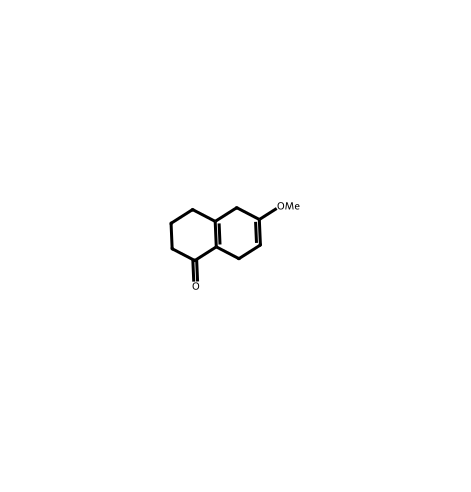 COC1=CCC2=C(CCCC2=O)C1